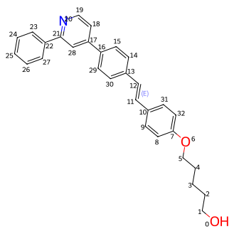 OCCCCCOc1ccc(/C=C/c2ccc(-c3ccnc(-c4ccccc4)c3)cc2)cc1